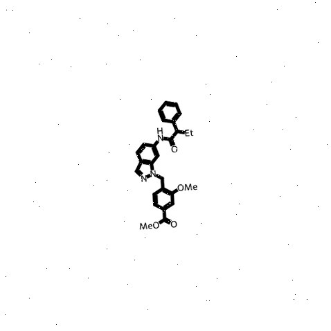 CCC(C(=O)Nc1ccc2cnn(Cc3ccc(C(=O)OC)cc3OC)c2c1)c1ccccc1